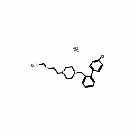 Cl.Cl.O=CCOCCN1CCN(Cc2ccccc2-c2ccc(Cl)cc2)CC1